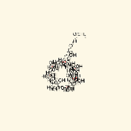 CN[C@H](CSCC1O[C@H]2O[C@@H]3C(CO)O[C@H](O[C@@H]4C(CO)O[C@H](O[C@@H]5C(CO)O[C@@H](O[C@@H]6C(CSCC(CC(=O)CCOCCOCCC(C)=O)C(=O)O)O[C@H](O[C@@H]7C(CO)O[C@@H](O[C@@H]8C(CO)O[C@@H](O[C@H]1[C@H](O)C2O)C(O)[C@H]8O)C(O)[C@H]7O)C(O)[C@H]6O)C(O)[C@H]5O)C(O)[C@H]4O)C(O)[C@H]3O)C(=O)O